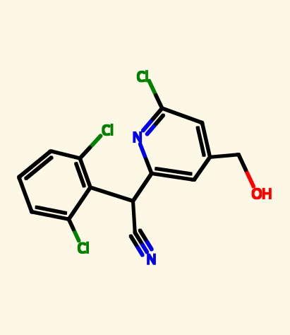 N#CC(c1cc(CO)cc(Cl)n1)c1c(Cl)cccc1Cl